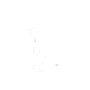 CC(=O)N1CCC(NCC(Cc2nc[nH]c(=O)c2O)c2ccc(C#Cc3ccc(CN4CCOCC4)cc3)cc2)C1